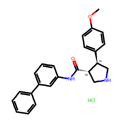 COc1ccc([C@H]2CNC[C@@H]2C(=O)Nc2cccc(-c3ccccc3)c2)cc1.Cl